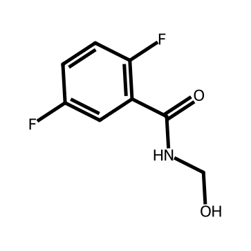 O=C(NCO)c1cc(F)ccc1F